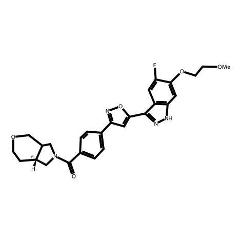 COCCOc1cc2[nH]nc(-c3cc(-c4ccc(C(=O)N5CC6COCC[C@H]6C5)cc4)no3)c2cc1F